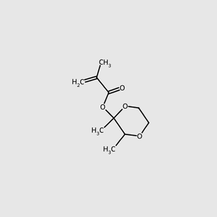 C=C(C)C(=O)OC1(C)OCCOC1C